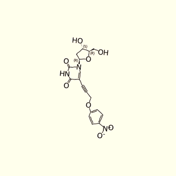 O=c1[nH]c(=O)n([C@H]2C[C@H](O)[C@@H](CO)O2)cc1C#CCOc1ccc([N+](=O)[O-])cc1